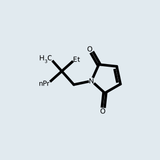 CCCC(C)(CC)CN1C(=O)C=CC1=O